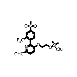 CC(C)(C)[Si](C)(C)OCCOc1ccc(C=O)nc1-c1ccc(S(C)(=O)=O)cc1C(F)(F)F